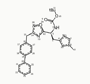 Cn1cnc(C[C@H](NC(=O)OC(C)(C)C)c2nc(Cc3ccc(-c4ccccc4)cc3)no2)c1